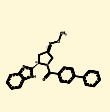 CO/N=C1/C[C@@H](c2nc3ccccc3[nH]2)N(C(=O)c2ccc(-c3ccccc3)cc2)C1